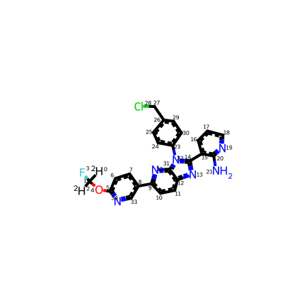 [2H]C([2H])(F)Oc1ccc(-c2ccc3nc(-c4cccnc4N)n(-c4ccc(CCl)cc4)c3n2)cn1